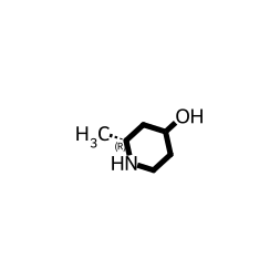 C[C@@H]1CC(O)CCN1